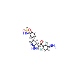 CS(=O)(=O)Nc1cccc(-c2cnc3[nH]cc(C(=O)c4c(F)ccc(N)c4F)c3c2)c1